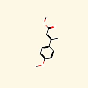 COC(=O)C=C(C)c1ccc(OC)cc1